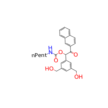 CCCCCNC(=O)OC(C(=O)c1ccc2ccccc2c1)c1cc(CO)cc(CO)c1